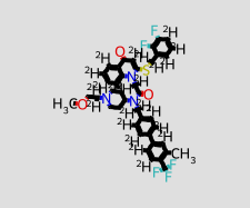 [2H]c1c([2H])c(F)c(F)c(C([2H])([2H])Sc2c([2H])c(=O)c3c([2H])c([2H])c([2H])c([2H])c3n2C([2H])([2H])C(=O)N(C2CCN(C([2H])([2H])COC)CC2)C([2H])([2H])c2c([2H])c([2H])c(-c3c([2H])c([2H])c(C(F)(F)F)c(C)c3[2H])c([2H])c2[2H])c1[2H]